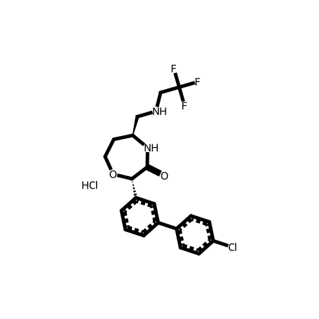 Cl.O=C1N[C@H](CNCC(F)(F)F)CCO[C@H]1c1cccc(-c2ccc(Cl)cc2)c1